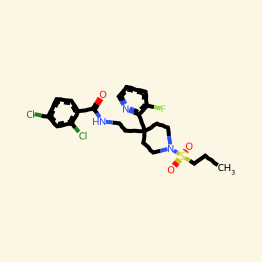 CCCS(=O)(=O)N1CCC(CCNC(=O)c2ccc(Cl)cc2Cl)(c2ncccc2F)CC1